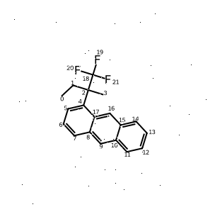 CCC(C)(c1cccc2cc3ccccc3cc12)C(F)(F)F